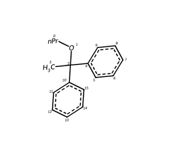 [CH2]CCOC(C)(c1ccccc1)c1ccccc1